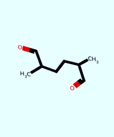 CC(C=O)CCC(C)C=O